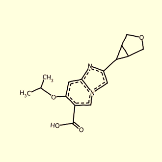 CC(C)Oc1cc2nc(C3C4COCC43)cn2cc1C(=O)O